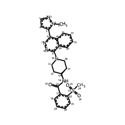 Cn1nccc1-c1nnc(N2CCC(NC(=O)c3ccccc3S(C)(=O)=O)CC2)c2ccccc12